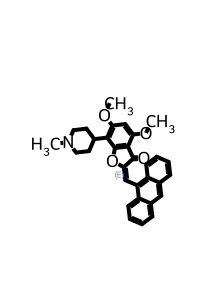 COc1cc(OC)c(C2CCN(C)CC2)c2c1C(=O)/C(=C\c1c3ccccc3cc3ccccc13)O2